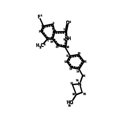 Cc1cc(F)cc2c(=O)[nH]c(-c3ccc(CN4CC(O)C4)cc3)cc12